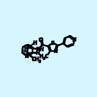 Cc1nc(-c2ccncc2)sc1C(=O)N[C@@H]1C2CCN(CC2)[C@H]1C